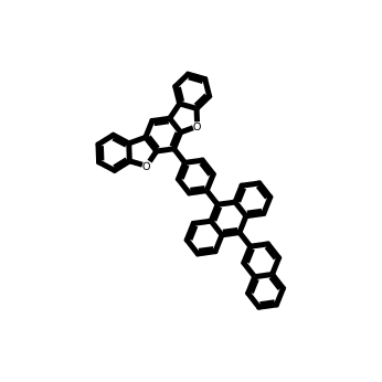 c1ccc2cc(-c3c4ccccc4c(-c4ccc(-c5c6oc7ccccc7c6cc6c5oc5ccccc56)cc4)c4ccccc34)ccc2c1